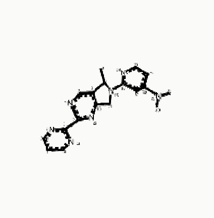 CC1c2cnc(-c3ncccn3)nc2CN1c1cc(N(C)C)ccn1